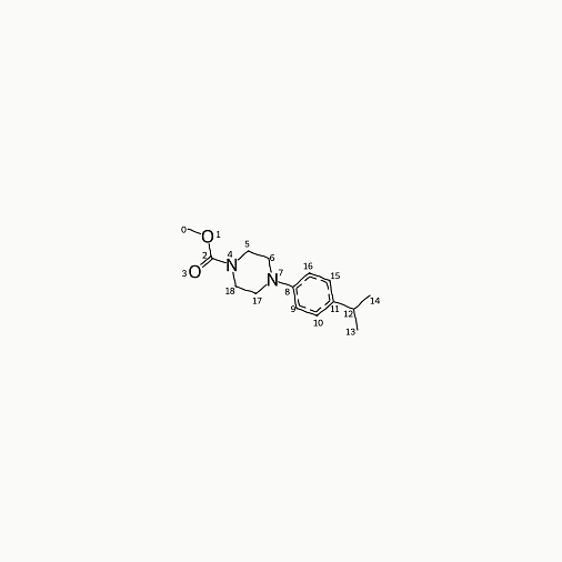 COC(=O)N1CCN(c2ccc(C(C)C)cc2)CC1